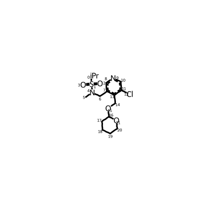 CC(C)S(=O)(=O)N(C)Cc1cncc(Cl)c1COC1CCCCO1